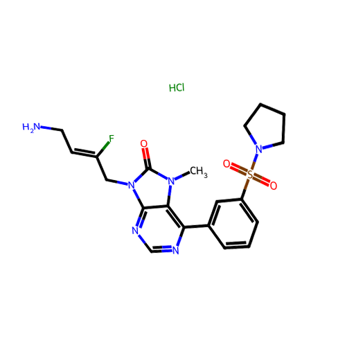 Cl.Cn1c(=O)n(CC(F)=CCN)c2ncnc(-c3cccc(S(=O)(=O)N4CCCC4)c3)c21